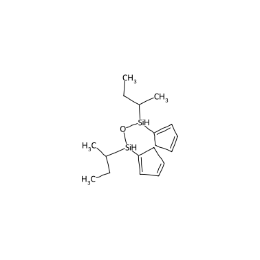 CCC(C)[SiH](O[SiH](C1=CC=CC1)C(C)CC)C1=CC=CC1